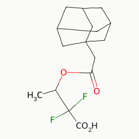 CC(OC(=O)CC12CC3CC(CC(C3)C1)C2)C(F)(F)C(=O)O